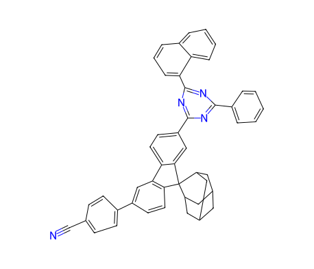 N#Cc1ccc(-c2ccc3c(c2)-c2ccc(-c4nc(-c5ccccc5)nc(-c5cccc6ccccc56)n4)cc2C32C3CC4CC(C3)CC2C4)cc1